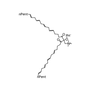 CCCCCC=CCC=CCC=CCC=CCCCC(=O)C(C[N+](C)(C)C)(O[PH-])C(=O)CCCC=CCC=CCC=CCC=CCCCCC